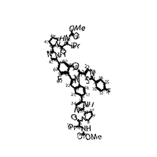 COC(=O)NC(C(=O)N1CCC[C@H]1c1ncc(-c2ccc3c(c2)cc2n3C(c3cnc(-c4ccc(F)cc4)s3)Oc3cc(-c4cnc(C5CCCN5C(=O)[C@@H](NC(=O)OC)C(C)C)[nH]4)cc(F)c3-2)[nH]1)C(C)C